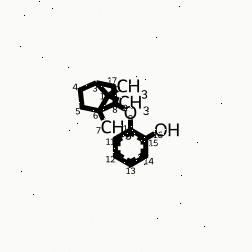 CC1(C)C2CCC1(C)C(Oc1ccccc1O)C2